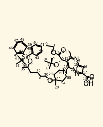 CCOC(=O)[C@@H](OC(C)(C)C)c1c(C)nc2cc(C(=O)O)nn2c1N1CCC(C)(OCCCCC(C)O[Si](c2ccccc2)(c2ccccc2)C(C)(C)C)CC1